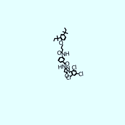 CCC(C)(C)c1ccc(OCCCC(=O)Nc2cccc(C(=O)NC3=NN(c4c(Cl)cc(Cl)cc4Cl)C(=O)C3)c2)c(C(C)(C)CC)c1